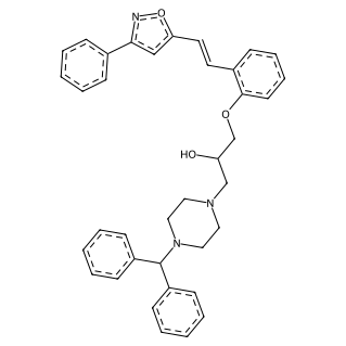 OC(COc1ccccc1C=Cc1cc(-c2ccccc2)no1)CN1CCN(C(c2ccccc2)c2ccccc2)CC1